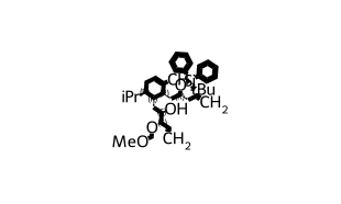 C=CC[C@H](C[C@H]1C(C)=CC[C@H](C(C)C)[C@H]1C[C@H](O)[C@H](C=C)OCOC)O[Si](c1ccccc1)(c1ccccc1)C(C)(C)C